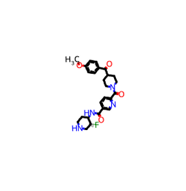 COc1ccc(C(=O)C2CCN(C(=O)c3ccc(C(=O)NC4CCNC[C@H]4F)cn3)CC2)cc1